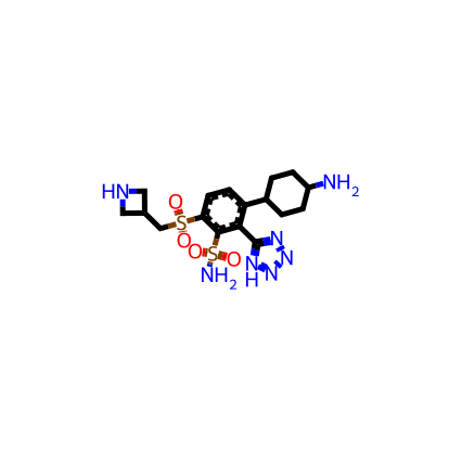 NC1CCC(c2ccc(S(=O)(=O)CC3CNC3)c(S(N)(=O)=O)c2-c2nnn[nH]2)CC1